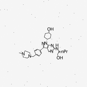 CCC[C@H](CO)Nc1ncc2c(-c3ccc(CN4CCN(C)CC4)cc3)nn([C@H]3CC[C@H](O)CC3)c2n1